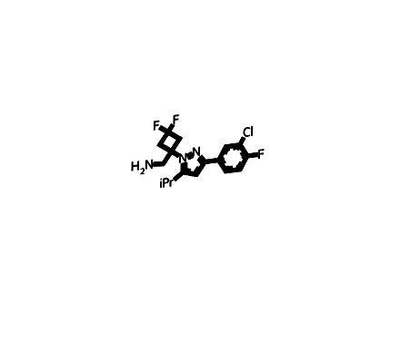 CC(C)c1cc(-c2ccc(F)c(Cl)c2)nn1C1(CN)CC(F)(F)C1